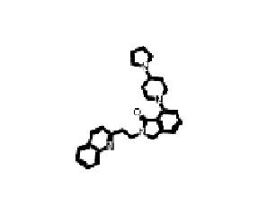 O=C1c2c(cccc2N2CCC(N3CCCC3)CC2)CN1CCc1ccc2ccccc2n1